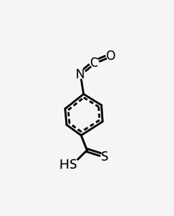 O=C=Nc1ccc(C(=S)S)cc1